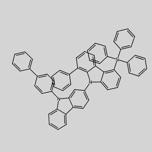 c1ccc(-c2ccc(-n3c4ccccc4c4ccc(-n5c6cccc([Si](c7ccccc7)(c7ccccc7)c7ccccc7)c6c6cccc(-c7ccccc7)c65)cc43)cc2)cc1